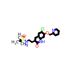 CC(C)(C)[S+]([O-])NCCc1cc2cc(Cl)c(OCc3ccccn3)cc2[nH]c1=O